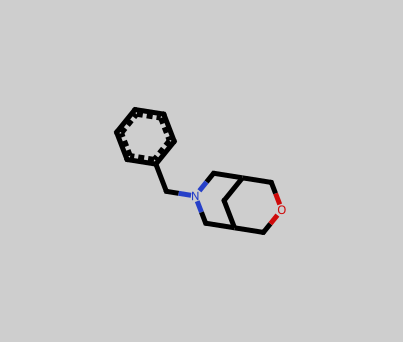 c1ccc(CN2CC3COCC(C3)C2)cc1